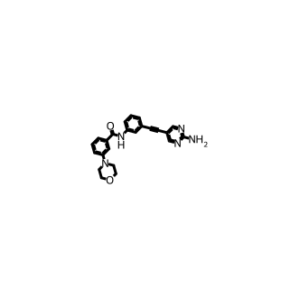 Nc1ncc(C#Cc2cccc(NC(=O)c3cccc(N4CCOCC4)c3)c2)cn1